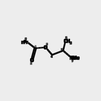 CCCC(=O)OCC(C)NC